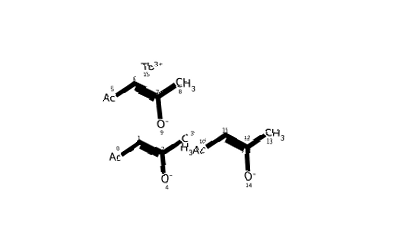 CC(=O)/C=C(/C)[O-].CC(=O)/C=C(/C)[O-].CC(=O)/C=C(/C)[O-].[Tb+3]